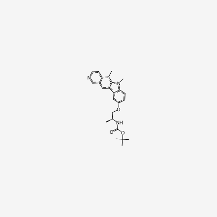 Cc1c2ccncc2cc2c3cc(OC[C@H](C)NC(=O)OC(C)(C)C)ccc3n(C)c12